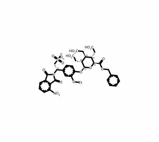 CCOc1cc([C@@H](CS(C)(=O)=O)N2C(=O)c3cccc([N+](=O)[O-])c3C2=O)ccc1O[C@@H]1O[C@H](C(=O)OCc2ccccc2)[C@@H](CC(=O)O)[C@H](CC(=O)O)[C@H]1CC(=O)O